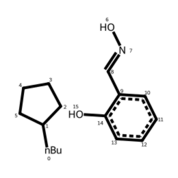 CCCCC1CCCC1.ON=Cc1ccccc1O